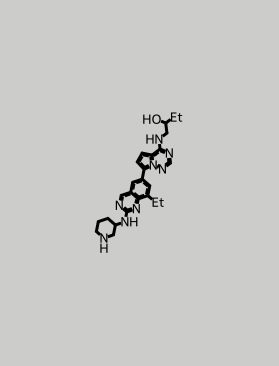 CCc1cc(-c2ccc3c(NCC(O)CC)ncnn23)cc2cnc(NC3CCCNC3)nc12